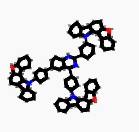 c1cc(-c2nc(-c3ccc(-n4c5ccccc5c5ccc6oc7ccccc7c6c54)cc3)c3cc(-c4ccc(-n5c6ccccc6c6ccc7oc8ccccc8c7c65)cc4)ccc3n2)cc(-n2c3ccccc3c3ccc4oc5ccccc5c4c32)c1